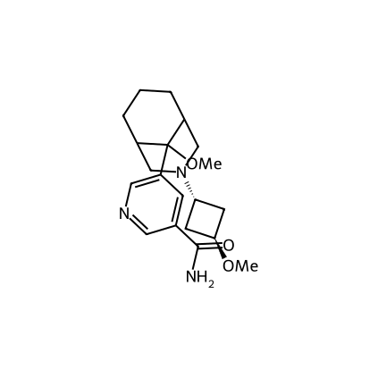 COC1(c2cncc(C(N)=O)c2)C2CCCC1CN([C@H]1C[C@H](OC)C1)C2